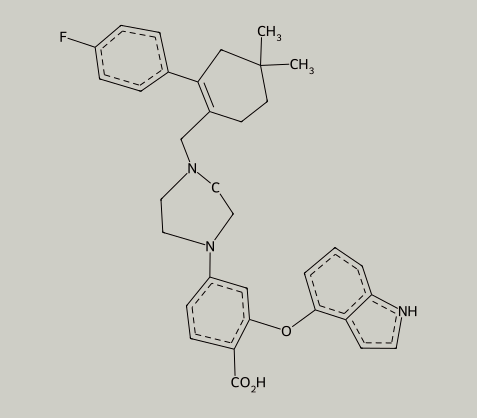 CC1(C)CCC(CN2CCN(c3ccc(C(=O)O)c(Oc4cccc5[nH]ccc45)c3)CC2)=C(c2ccc(F)cc2)C1